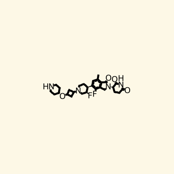 Cc1cc([C@@H]2CCN(C3CC(OC4CCNCC4)C3)C[C@@H]2F)c(F)c2c1C(=O)N([C@H]1CCC(=O)NC1=O)C2